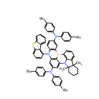 CC(C)(C)c1ccc(N(c2ccc(C(C)(C)C)cc2)c2ccc3c(c2)B2c4cccc5c4N(c4cc(N(c6ccc(C(C)(C)C)cc6)c6ccc(C(C)(C)C)cc6)cc(c42)N3c2cccc3sc4ccccc4c23)C2(C)CCCCC52C)cc1